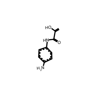 C=C(O)C(=O)Nc1ccc(N)cc1